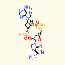 Nc1ncnc2c1ncn2[C@@H]1CC2OP(=O)(S)O[C@@H]3C[C@@H](COP(=O)(S)O[C@H]21)O[C@H]3n1cnc2c(N)ncnc21